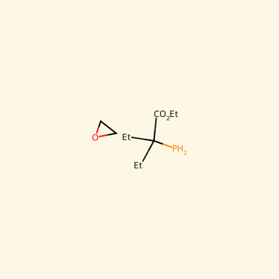 C1CO1.CCOC(=O)C(P)(CC)CC